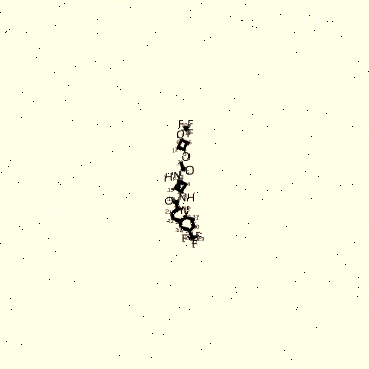 O=C(CO[C@H]1C[C@@H](OC(F)(F)F)C1)NC12CC(NC(=O)c3ccc4cc(C(F)(F)F)ccc4n3)(C1)C2